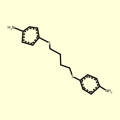 Nc1ccc(SCCCCSc2ccc(N)cc2)cc1